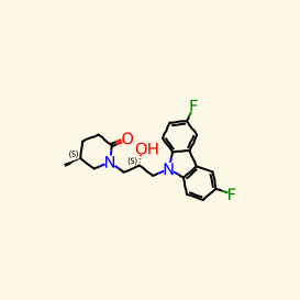 C[C@H]1CCC(=O)N(C[C@H](O)Cn2c3ccc(F)cc3c3cc(F)ccc32)C1